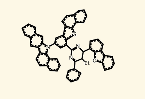 CCC1C(c2ccccc2)=NC(c2cc(-n3c4cc5ccccc5cc4c4ccc5ccccc5c43)cc3c2sc2c4ccccc4ccc32)=NC1c1cccc2c1oc1ccccc12